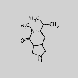 CC(C)C1CC2CNCC2C(=O)N1C